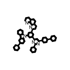 c1ccc(-c2ccc(-c3cc(-c4cc(-c5ccc6ccc7cccnc7c6n5)cc(-n5c6ccccc6c6cc(-c7ccccc7)ccc65)c4)nc(-c4ccccc4)n3)cc2)cc1